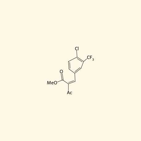 COC(=O)C(=Cc1ccc(Cl)c(C(F)(F)F)c1)C(C)=O